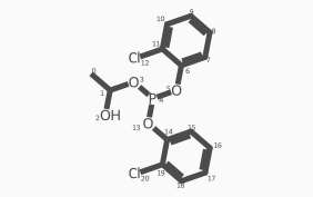 CC(O)OP(Oc1ccccc1Cl)Oc1ccccc1Cl